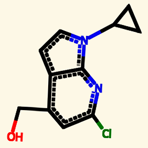 OCc1cc(Cl)nc2c1ccn2C1CC1